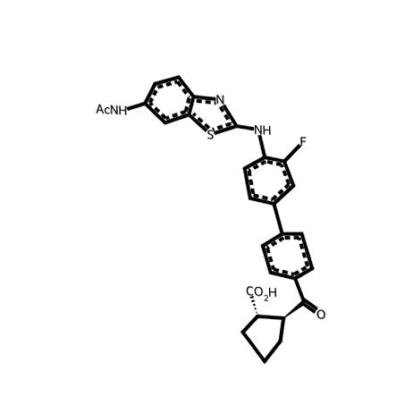 CC(=O)Nc1ccc2nc(Nc3ccc(-c4ccc(C(=O)[C@H]5CCC[C@@H]5C(=O)O)cc4)cc3F)sc2c1